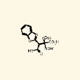 CCCCCCCCCCC(CCCCCCCCCC)(C(=O)O)C(C(=O)S)c1nc2ccccc2o1